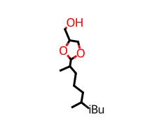 CCC(C)C(C)CCCC(C)C1OCC(CO)O1